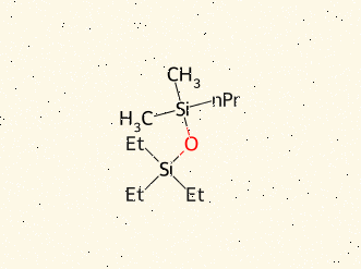 CCC[Si](C)(C)O[Si](CC)(CC)CC